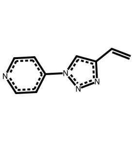 C=Cc1cn(-c2ccncc2)nn1